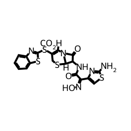 Nc1nc(/C(=N/O)C(=O)NC2C(=O)N3C(C(=O)O)=C(Sc4nc5ccccc5s4)CS[C@H]23)cs1